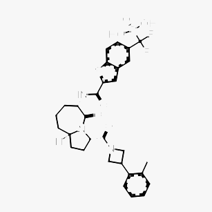 Cc1ccccc1C1CN(C(=O)[C@@H]2CC[C@@H]3CCC[C@H](NC(=O)c4cc5cc(C(F)(F)P(=O)(O)O)ccc5s4)C(=O)N32)C1